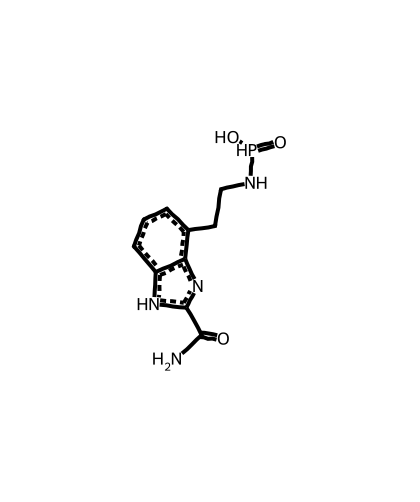 NC(=O)c1nc2c(CCN[PH](=O)O)cccc2[nH]1